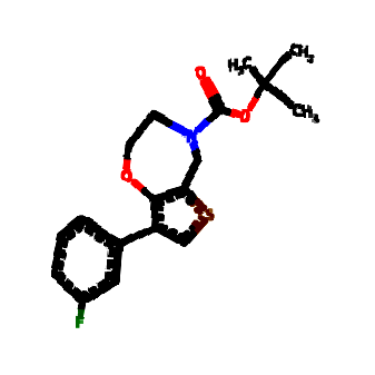 CC(C)(C)OC(=O)N1CCOc2c(-c3cccc(F)c3)csc2C1